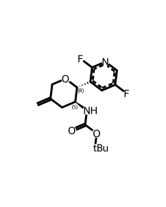 C=C1CO[C@H](c2cc(F)cnc2F)[C@@H](NC(=O)OC(C)(C)C)C1